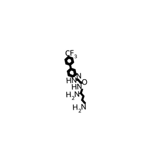 NCCC[C@H](N)CNC(=O)c1nc2cc(-c3ccc(C(F)(F)F)cc3)ccc2[nH]1